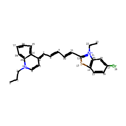 CCCN1C=C\C(=C/C=C/C=C/c2sc3ccc(Br)cc3[n+]2CC)c2ccccc21